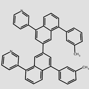 Cc1cccc(-c2cc(-c3cc(-c4cccnc4)c4cccc(-c5cccc(C)c5)c4c3)cc3c(-c4cccnc4)cccc23)c1